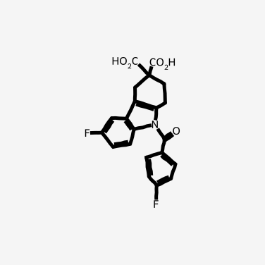 O=C(c1ccc(F)cc1)n1c2c(c3cc(F)ccc31)CC(C(=O)O)(C(=O)O)CC2